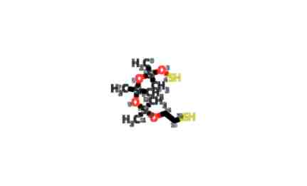 C[Si](C)(OS)O[Si](C)(C)O[Si](C)(C)OCCS